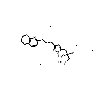 CC(C)C(C)(CC(=O)O)Cc1nc(CCCc2ccc3c(n2)NCCC3)no1